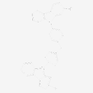 Fc1ccc2c3ccccc3n(-c3ccc(Cc4ccc(-n5c6ccccc6c6ccc(F)cc65)cc4)cc3)c2c1